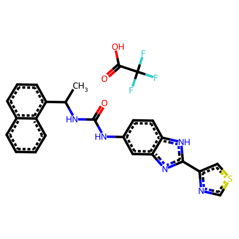 CC(NC(=O)Nc1ccc2[nH]c(-c3cscn3)nc2c1)c1cccc2ccccc12.O=C(O)C(F)(F)F